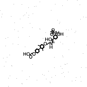 Cc1cc(OCCN[C@@H](C)[C@H](O)c2ccc(O)c(NS(C)(=O)=O)c2)cc(C)c1-c1ccc(OCC(=O)O)cc1